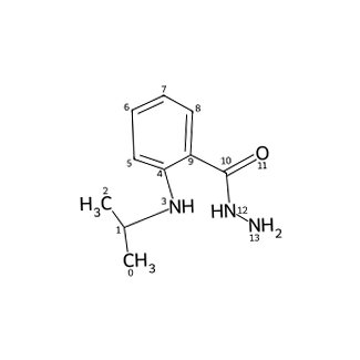 CC(C)Nc1ccccc1C(=O)NN